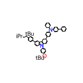 CC(C)CC(c1ccc(-c2ccc3c(c2)c2c(n3-c3ccc(OC(C)(C)C)cc3)C=CC(c3ccc(N(c4ccc(-c5ccccc5)cc4)C4C=CC=CC4)cc3)C2)cc1)C(C)(C)C